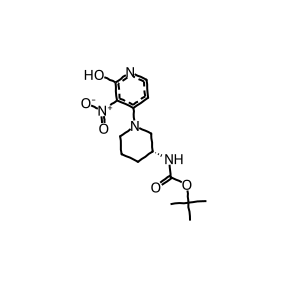 CC(C)(C)OC(=O)N[C@@H]1CCCN(c2ccnc(O)c2[N+](=O)[O-])C1